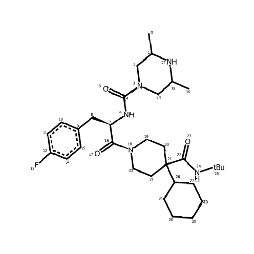 CC1CN(C(=O)N[C@H](Cc2ccc(F)cc2)C(=O)N2CCC(C(=O)NC(C)(C)C)(C3CCCCC3)CC2)CC(C)N1